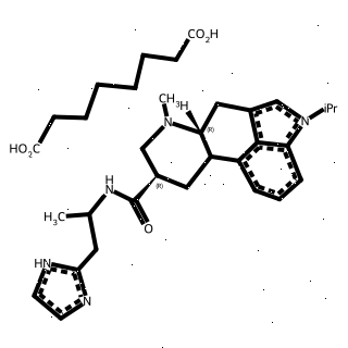 CC(Cc1ncc[nH]1)NC(=O)[C@@H]1CC2c3cccc4c3c(cn4C(C)C)C[C@H]2N(C)C1.O=C(O)CCCCCCC(=O)O